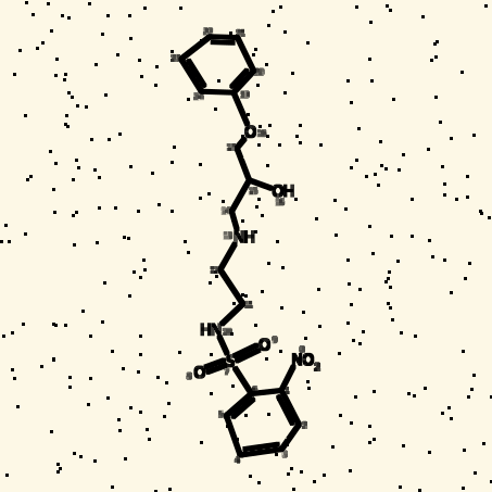 O=[N+]([O-])c1ccccc1S(=O)(=O)NCCNCC(O)COc1ccccc1